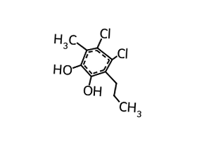 CCCc1c(O)c(O)c(C)c(Cl)c1Cl